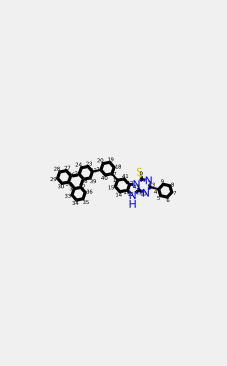 S=c1nc(-c2ccccc2)nc2[nH]c3ccc(-c4cccc(-c5ccc6c7ccccc7c7ccccc7c6c5)c4)cc3n12